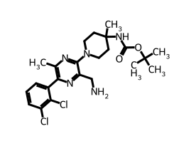 Cc1nc(N2CCC(C)(NC(=O)OC(C)(C)C)CC2)c(CN)nc1-c1cccc(Cl)c1Cl